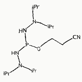 CC(C)N(NP(NN(C(C)C)C(C)C)OCCC#N)C(C)C